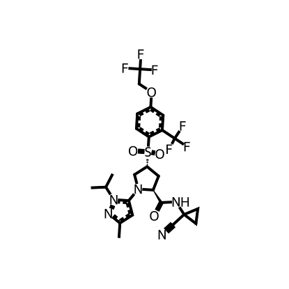 Cc1cc(N2C[C@H](S(=O)(=O)c3ccc(OCC(F)(F)F)cc3C(F)(F)F)C[C@H]2C(=O)NC2(C#N)CC2)n(C(C)C)n1